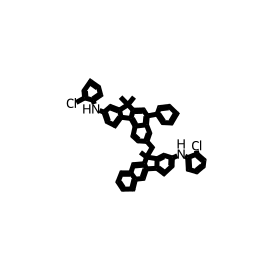 CC1(C)c2cc(Nc3ccccc3Cl)ccc2-c2c1cc(-c1ccccc1)c1cc(CC3(C)c4cc(Nc5ccccc5Cl)ccc4-c4cc5ccccc5cc43)ccc21